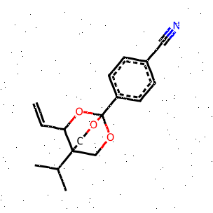 C=CC1OC2(c3ccc(C#N)cc3)OCC1(C(C)C)CO2